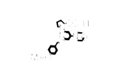 COc1ccc(COc2cc(N3CCOCC3)cc(N3CCC[C@H]3C(=O)O)n2)cc1